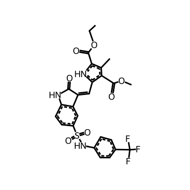 CCOC(=O)c1[nH]c(C=C2C(=O)Nc3ccc(S(=O)(=O)Nc4ccc(C(F)(F)F)cc4)cc32)c(C(=O)OC)c1C